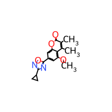 COc1cc(-c2nc(C3CC3)no2)cc2oc(=O)c(C)c(C)c12